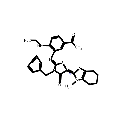 CCNc1ccc(C(C)=O)cc1N=C1S/C(=C2\SC3=C(CCCC3)N2C)C(=O)N1Cc1ccccc1